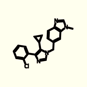 Cn1cnc2ccc(Cn3cnc(-c4ccccc4Cl)c3C3CC3)cc21